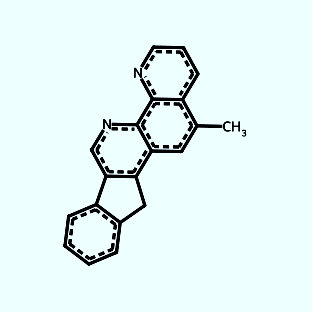 Cc1cc2c3c(cnc2c2ncccc12)-c1ccccc1C3